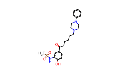 CS(=O)(=O)Nc1cc(C(=O)CCCCCN2CCN(c3ccccc3)CC2)ccc1O